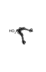 C=CC(=O)OCCCCCCCCOc1ccc(C(=O)Oc2ccc(C(=O)O)cc2OC(=O)c2ccc(OCCCCCCCCOC(=O)C=C)cc2)cc1